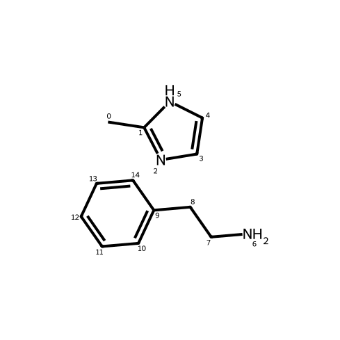 Cc1ncc[nH]1.NCCc1ccccc1